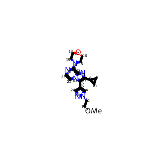 COCCn1cc(-c2c(C3CC3)nc3c(N4CCOCC4)nccn23)cn1